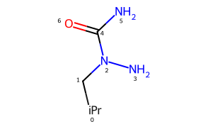 CC(C)CN(N)C(N)=O